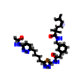 C=C(C)/C=C\CC(C)(C)C(=O)NCc1cccc(CC(=O)Nc2nnc(CCCCc3ccc(NC(C)=O)nn3)s2)c1